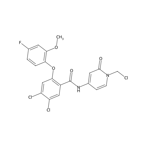 COc1cc(F)ccc1Oc1cc(Cl)c(Cl)cc1C(=O)Nc1ccn(CCl)c(=O)c1